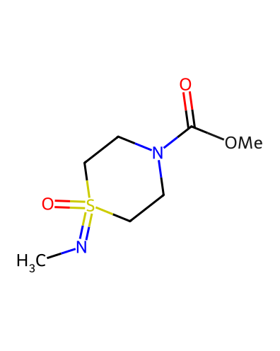 CN=S1(=O)CCN(C(=O)OC)CC1